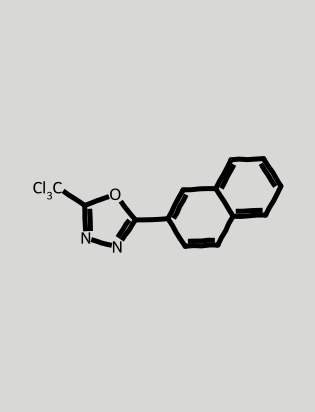 ClC(Cl)(Cl)c1nnc(-c2ccc3ccccc3c2)o1